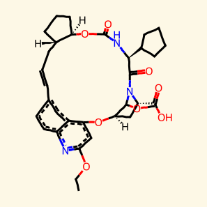 CCOc1cc2c3cc(ccc3n1)/C=C/C[C@@H]1CCC[C@H]1OC(=O)N[C@@H](C1CCCC1)C(=O)N1C(OC)[C@@H](C[C@H]1C(=O)O)O2